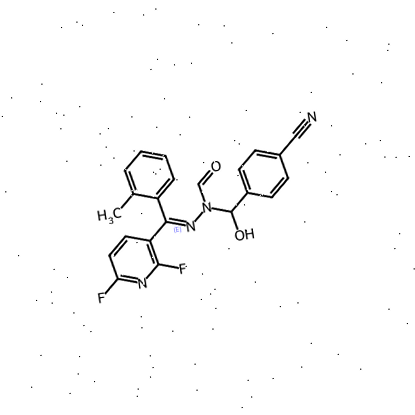 Cc1ccccc1/C(=N\N(C=O)C(O)c1ccc(C#N)cc1)c1ccc(F)nc1F